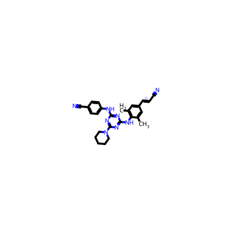 Cc1cc(/C=C/C#N)cc(C)c1Nc1nc(Nc2ccc(C#N)cc2)nc(N2CCCCC2)n1